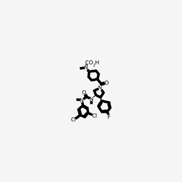 CN(C(=O)N(C)[C@@H]1CN(C(=O)C2CCC(N(C)C(=O)O)CC2)C[C@H]1c1ccc(F)cc1)c1cc(Cl)cc(Cl)c1